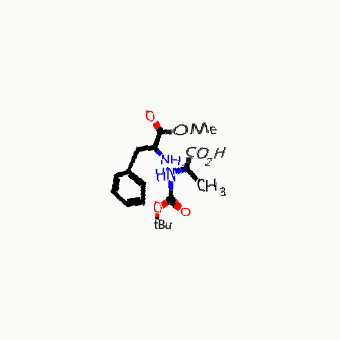 CC(NC(=O)OC(C)(C)C)C(=O)O.COC(=O)C(N)Cc1ccccc1